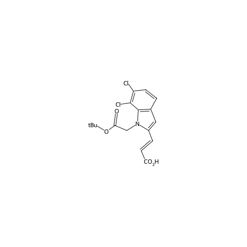 CC(C)(C)OC(=O)Cn1c(/C=C/C(=O)O)cc2ccc(Cl)c(Cl)c21